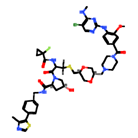 CNc1nc(Nc2ccc(C(=O)N3CCN(C[C@H]4CO[C@H](CSC(C)(C)C(NC(=O)C5(F)CC5)C(=O)N5C[C@H](O)C[C@H]5C(=O)NCc5ccc(-c6scnc6C)cc5)CO4)CC3)cc2OC)ncc1Cl